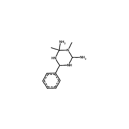 CN1C(N)NC(c2ccccc2)NC1(C)N